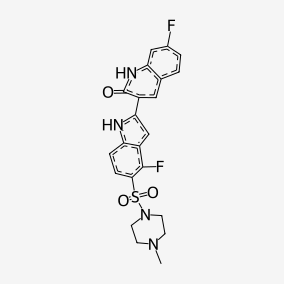 CN1CCN(S(=O)(=O)c2ccc3[nH]c(-c4cc5ccc(F)cc5[nH]c4=O)cc3c2F)CC1